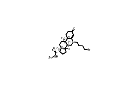 CC(C)(C)NC(=O)[C@H]1CC[C@H]2[C@@H]3CN(CCCCBr)C4=CC(=O)CC[C@]4(C)[C@H]3CC[C@]12C